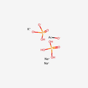 CC(=O)[O-].O=P(O)(O)O.O=P([O-])([O-])O.[K+].[Na+].[Na+]